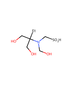 CCC(CO)(CO)N(CO)CS(=O)(=O)O